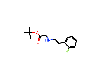 CC(C)(C)OC(=O)CNCCc1ccccc1F